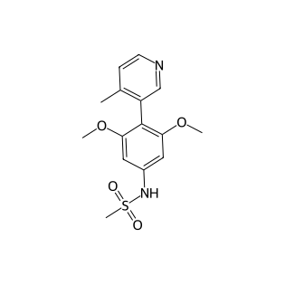 COc1cc(NS(C)(=O)=O)cc(OC)c1-c1cnccc1C